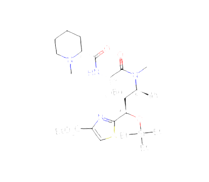 CCOC(=O)c1csc([C@@H](C[C@H](C(C)C)N(C)C(=O)[C@@H](NC(=O)[C@H]2CCCCN2C)[C@@H](C)CC)O[Si](CC)(CC)CC)n1